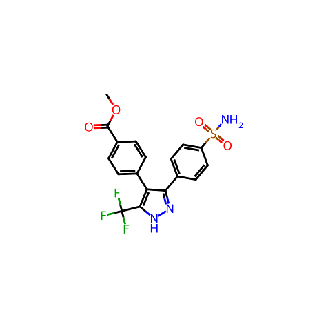 COC(=O)c1ccc(-c2c(-c3ccc(S(N)(=O)=O)cc3)n[nH]c2C(F)(F)F)cc1